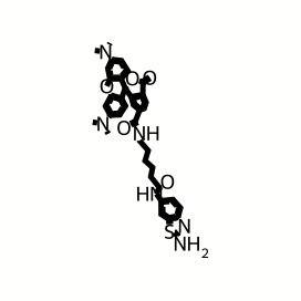 CN(C)c1ccc2c(c1)Oc1cc(N(C)C)ccc1C21OC(=O)c2ccc(C(=O)NCCCCCC(=O)Nc3ccc4nc(N)sc4c3)cc21